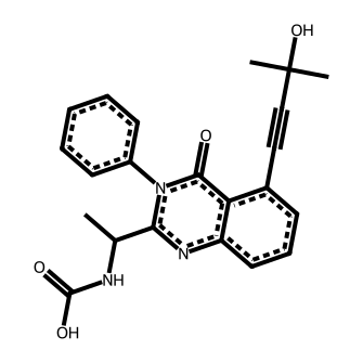 CC(NC(=O)O)c1nc2cccc(C#CC(C)(C)O)c2c(=O)n1-c1ccccc1